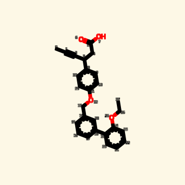 CC#CC(CC(=O)O)c1ccc(OCc2cccc(-c3ccccc3OCC)c2)cc1